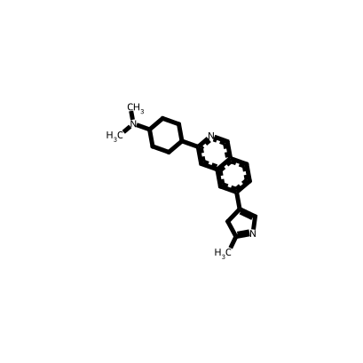 CC1=NC=C(c2ccc3cnc(C4CCC(N(C)C)CC4)cc3c2)C1